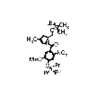 COc1cc(C(=O)N2C=C(C)C[C@H]2CO[Si](C)(C)C(C)(C)C)c([N+](=O)[O-])cc1O[Si](C(C)C)(C(C)C)C(C)C